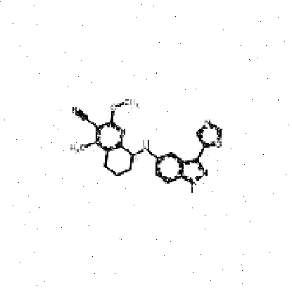 COc1nc2c(c(C)c1C#N)CCC[C@@H]2Nc1ccc2[nH]nc(-c3cnco3)c2c1